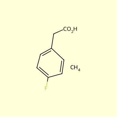 C.O=C(O)Cc1ccc(F)cc1